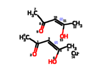 CC(=O)/C=C(/C)O.CC(=O)/C=C(/C)O.[Cu]